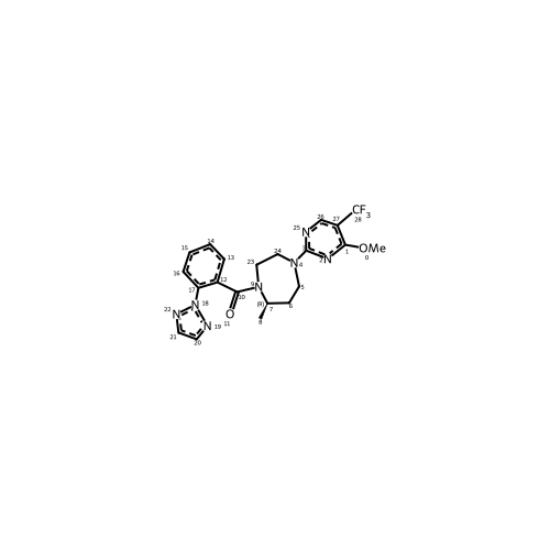 COc1nc(N2CC[C@@H](C)N(C(=O)c3ccccc3-n3nccn3)CC2)ncc1C(F)(F)F